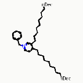 CCCCCCCCCCCCCCCCCCCc1cc[n+](Cc2ccccc2)cc1CCCCCCCCCCCCCCCCCCC